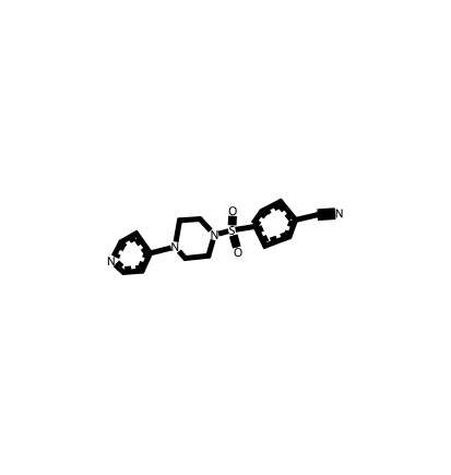 N#Cc1ccc(S(=O)(=O)N2CCN(c3ccncc3)CC2)cc1